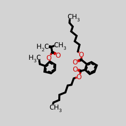 C=C(C)C(=O)Oc1ccccc1CC.CCCCCCCCOC(=O)c1ccccc1C(=O)OCCCCCCCC